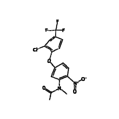 CC(=O)N(C)c1cc(Oc2ccc(C(F)(F)F)cc2Cl)ccc1[N+](=O)[O-]